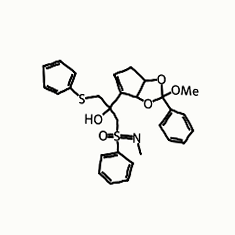 CN=S(=O)(CC(O)(CSc1ccccc1)C1=CCC2OC(OC)(c3ccccc3)OC12)c1ccccc1